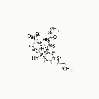 CCCSc1ccc(C(=N)c2ccc([N+](=O)[O-])cc2)c(NC(=S)NC(=O)OC)c1